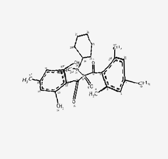 Cc1cc(C)c(C(=O)P(=O)(C(=O)c2c(C)cc(C)cc2C)N(C=O)C2CCCCC2)c(C)c1